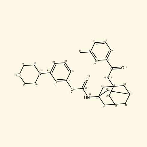 Cc1cccc(C(=O)NC23CC4CC(CC(NC(=O)Oc5cccc(N6CCOCC6)n5)(C4)C2)C3)n1